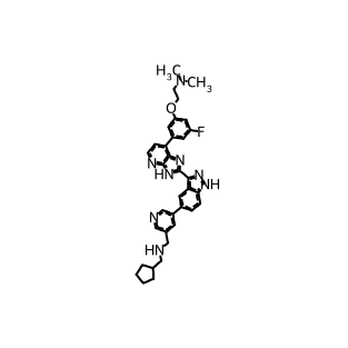 CN(C)CCOc1cc(F)cc(-c2ccnc3[nH]c(-c4n[nH]c5ccc(-c6cncc(CNCC7CCCC7)c6)cc45)nc23)c1